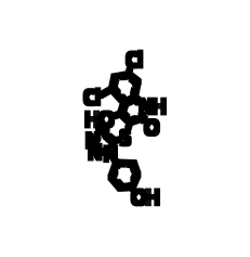 O=c1[nH]c2cc(Cl)cc(Cl)c2c(O)c1Sc1nnnn1-c1ccc(O)cc1